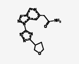 NC(=O)Cc1cc2c(cn1)cnn2-c1nc(C2CCOC2)ns1